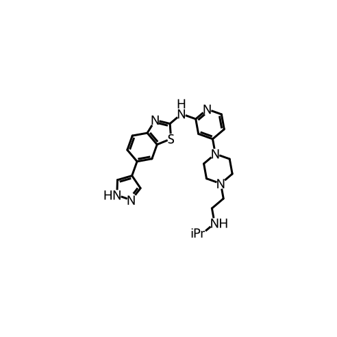 CC(C)NCCN1CCN(c2ccnc(Nc3nc4ccc(-c5cn[nH]c5)cc4s3)c2)CC1